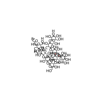 CC1C(O)[C@H](O[C@@H]2OC(CO)C(O)[C@H](O)C2O)C(CO)O[C@H]1OC1[C@@H](OCC2O[C@@H](OC3C(CO)O[C@@H](OC4C(CO)O[C@@H](NC(=O)CBr)C(C)[C@H]4O)C(C)[C@H]3O)C(O)[C@@H](O[C@H]3O[C@H](CO)[C@@H](O)C(O)C3O[C@@H]3OC(CO)C(O[C@@H]4OC(CO)[C@H](O)[C@H](O)C4O)[C@H](O)C3C)C2O)OC(CO)C(O)[C@@H]1O